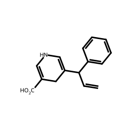 C=CC(C1=CNC=C(C(=O)O)C1)c1ccccc1